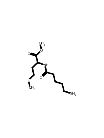 COC(=O)C(CCSC)NC(=O)CCCCN